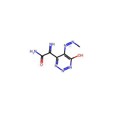 C/N=N\c1c(O)nnnc1C(=N)C(N)=O